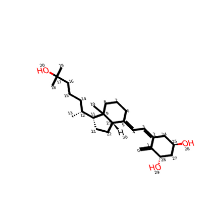 C=C1/C(=C\C=C2/CCCC3(C)[C@@H]([C@H](C)CCCC(C)(C)O)CC[C@@H]23)C[C@@H](O)C[C@@H]1O